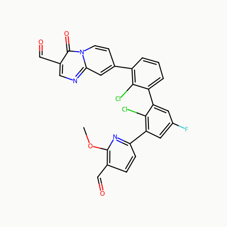 COc1nc(-c2cc(F)cc(-c3cccc(-c4ccn5c(=O)c(C=O)cnc5c4)c3Cl)c2Cl)ccc1C=O